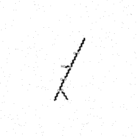 CCCCCCCCCOC(=O)CCCCCCCN(CCO)CCCCCCOC(=O)CCCCC(OCCCCCC)OCCCCCC